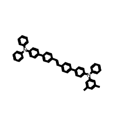 Cc1cc(C)cc(N(c2ccccc2)c2ccc(-c3ccc(/C=C/c4ccc(-c5ccc(N(c6ccccc6)c6ccccc6)cc5)cc4)cc3)cc2)c1